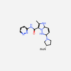 CN[C@H]1CCN(C2C=CC3NC(C)=C(C(=O)Nc4cccnn4)N3N2)C1